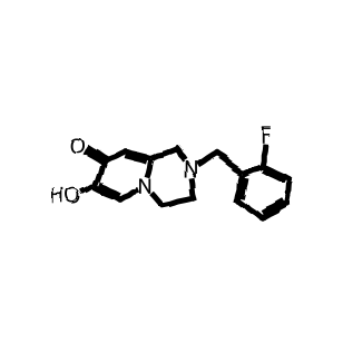 O=c1cc2n(cc1O)CCN(Cc1ccccc1F)C2